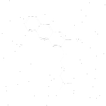 COc1cc2c(Cl)c3ccccc3nc2cc1OCCCN(C)C